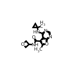 Cc1oc2ncnc(NC3(C)CC3)c2c1C(=O)NC1COC1